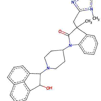 Cn1ccnc1CC1(C)C(=O)N(C2CCN(C3c4cccc5cccc(c45)C3O)CC2)c2ccccc21